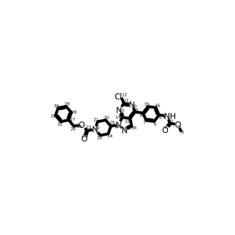 COC(=O)Nc1ccc(-c2nc(Cl)nc3c2cnn3C2CCN(C(=O)OCc3ccccc3)CC2)cc1